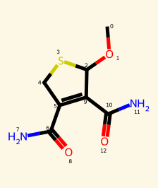 COC1SCC(C(N)=O)=C1C(N)=O